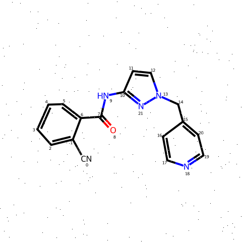 N#Cc1ccccc1C(=O)Nc1ccn(Cc2ccncc2)n1